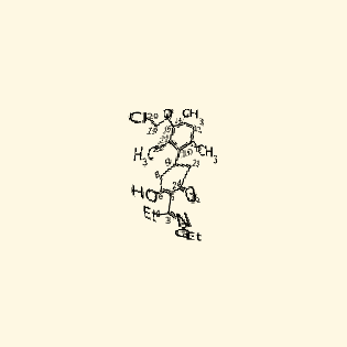 CCON=C(CC)C1=C(O)CC(c2c(C)cc(C)c(C(=O)CCl)c2C)CC1=O